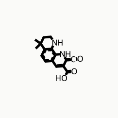 CC1(C)CCNc2c1ccc1c2NC(=C=O)C(C(=O)O)=C1